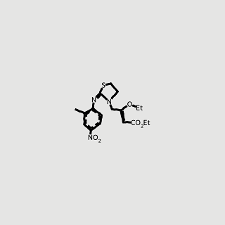 CCOC(=O)C=C(CN1CCSC1=Nc1ccc([N+](=O)[O-])cc1C)OCC